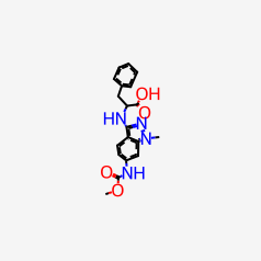 COC(=O)Nc1ccc2c(NC(Cc3ccccc3)C(=O)O)nn(C)c2c1